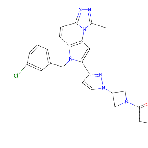 CCC(=O)N1CC(n2ccc(-c3cc4c(ccc5nnc(C)n54)n3Cc3cccc(Cl)c3)n2)C1